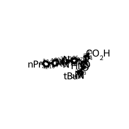 CCCC1CCC(C2CCN(c3cnc(-c4ccc(C[C@H](NC(=O)c5cnn(C(C)(C)C)c5)C(=O)N5CC(C(=O)O)C5)cc4)nc3)CC2)CC1